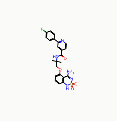 CC(C)(COc1cccc2c1C(N)=NS(=O)(=O)N2)NC(=O)c1ccnc(-c2ccc(F)cc2)c1